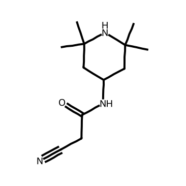 CC1(C)CC(NC(=O)CC#N)CC(C)(C)N1